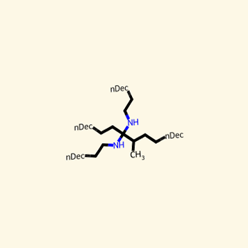 CCCCCCCCCCCCNC(CCCCCCCCCCCC)(NCCCCCCCCCCCC)C(C)CCCCCCCCCCCC